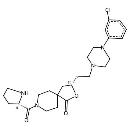 O=C([C@@H]1CCCN1)N1CCC2(CC1)C[C@H](CCN1CCN(c3cccc(Cl)c3)CC1)OC2=O